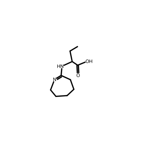 CCC(NC1=NCCCCC1)C(=O)O